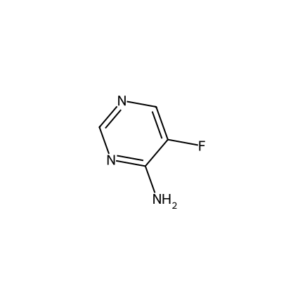 Nc1ncncc1F